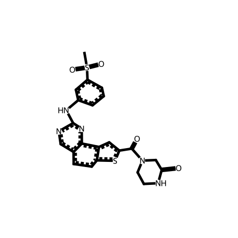 CS(=O)(=O)c1cccc(Nc2ncc3ccc4sc(C(=O)N5CCNC(=O)C5)cc4c3n2)c1